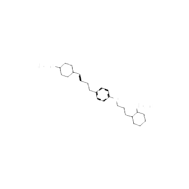 CCCCCC1CCC(C=CCCc2ccc(OCCCC3CCCCC3CCCCC)cc2)CC1